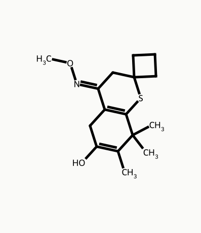 CO/N=C1\CC2(CCC2)SC2=C1CC(O)=C(C)C2(C)C